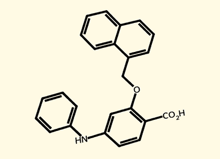 O=C(O)c1ccc(Nc2ccccc2)cc1OCc1cccc2ccccc12